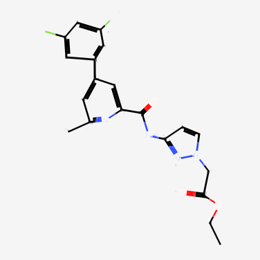 CCOC(=O)Cn1ccc(NC(=O)c2cc(-c3cc(F)cc(F)c3)cc(C)n2)n1